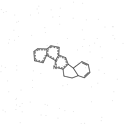 C1=CC2CCc3nc4c(ccc5ccccc54)cc3C2C=C1